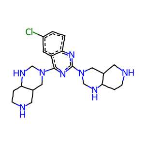 Clc1ccc2nc(N3CNC4CCNCC4C3)nc(N3CNC4CCNCC4C3)c2c1